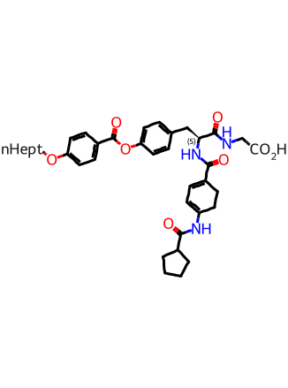 CCCCCCCOc1ccc(C(=O)Oc2ccc(C[C@H](NC(=O)C3=CC=C(NC(=O)C4CCCC4)CC3)C(=O)NCC(=O)O)cc2)cc1